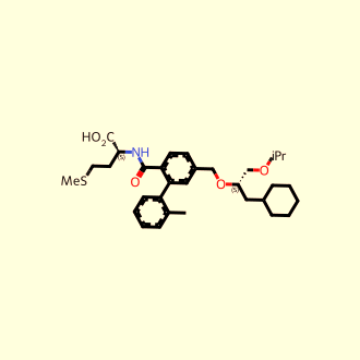 CSCC[C@H](NC(=O)c1ccc(CO[C@H](COC(C)C)CC2CCCCC2)cc1-c1ccccc1C)C(=O)O